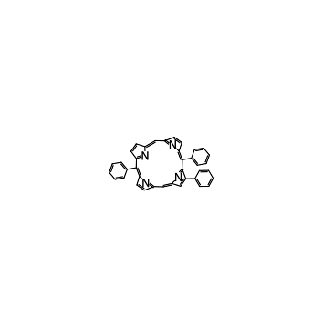 C1=CC2=NC1=CC1=NC(=C(c3ccccc3)C3=NC(=CC4=NC(=C2c2ccccc2)C=C4)C=C3c2ccccc2)C=C1